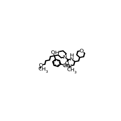 CNCC(CC1CCOCC1)NC(=O)N1CCC[C@@H]([C@@](O)(CCCCOC)c2cccc(Cl)c2)C1